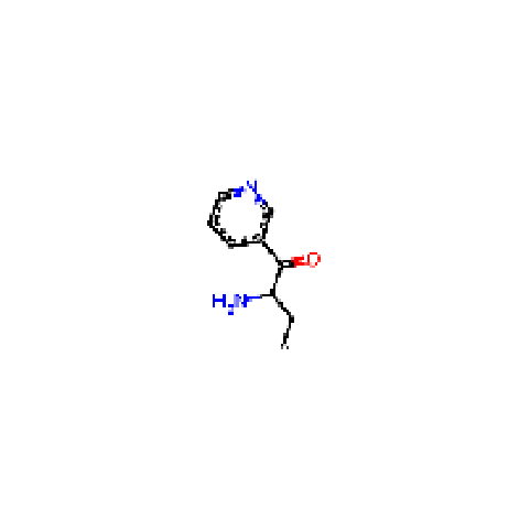 [CH2]CC(N)C(=O)c1cccnc1